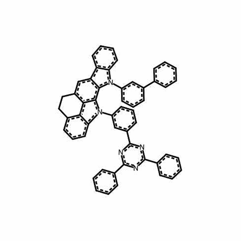 c1ccc(-c2cccc(-n3c4ccccc4c4cc5c6c7c(cccc7n(-c7cccc(-c8nc(-c9ccccc9)nc(-c9ccccc9)n8)c7)c6c43)CC5)c2)cc1